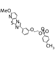 COc1ccc2c(n1)sc1nc(-c3cccc(OCCOS(=O)(=O)c4ccc(C)cc4)c3)cn12